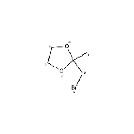 CC1(CBr)OCCO1